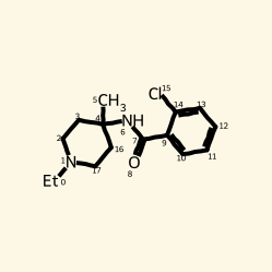 CCN1CCC(C)(NC(=O)c2ccccc2Cl)CC1